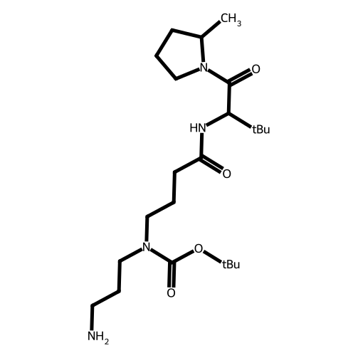 CC1CCCN1C(=O)C(NC(=O)CCCN(CCCN)C(=O)OC(C)(C)C)C(C)(C)C